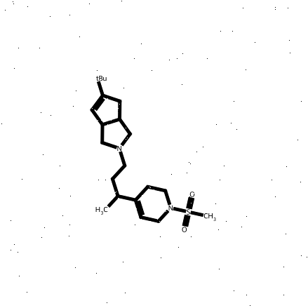 CC(CCN1CC2C=C(C(C)(C)C)CC2C1)C1=CCN(S(C)(=O)=O)CC1